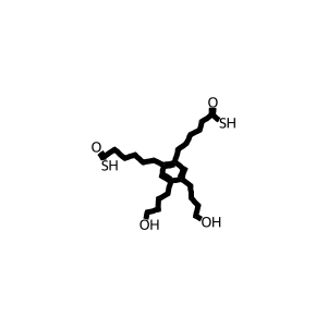 O=C(S)CCCCCc1cc(CCCCO)c(CCCCO)cc1CCCCCC(=O)S